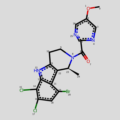 COc1cnc(C(=O)N2CCc3[nH]c4c(Cl)c(Cl)cc(Br)c4c3[C@@H]2C)nc1